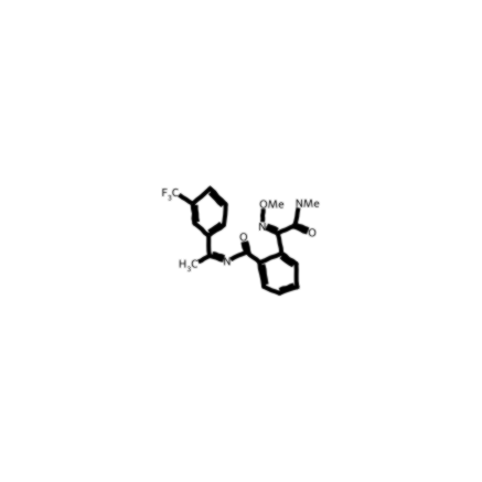 CNC(=O)C(=NOC)c1ccccc1C(=O)N=C(C)c1cccc(C(F)(F)F)c1